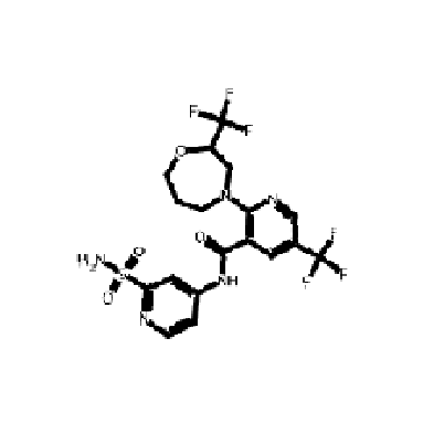 NS(=O)(=O)c1cc(NC(=O)c2cc(C(F)(F)F)cnc2N2CCCOC(C(F)(F)F)C2)ccn1